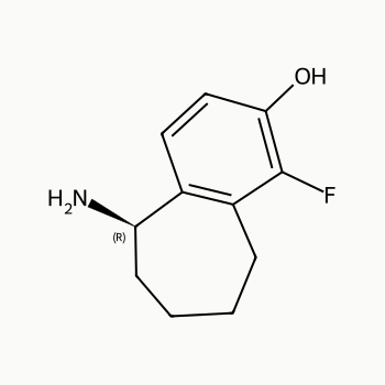 N[C@@H]1CCCCc2c1ccc(O)c2F